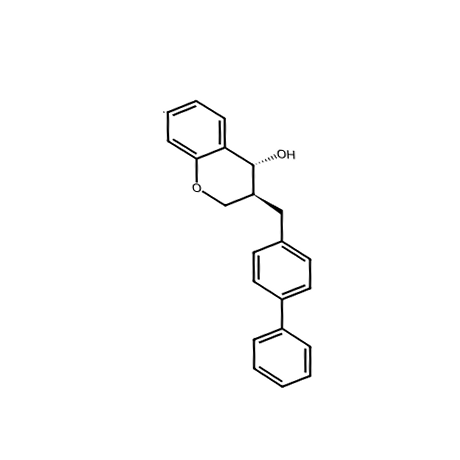 O[C@H]1c2cc[c]cc2OC[C@@H]1Cc1ccc(-c2ccccc2)cc1